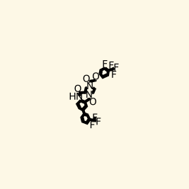 O=C1Nc2ccc(-c3cccc(C(F)(F)F)c3)cc2C(=O)N2CCN(C(=O)COc3ccc(C(F)(F)F)c(F)c3)CC12